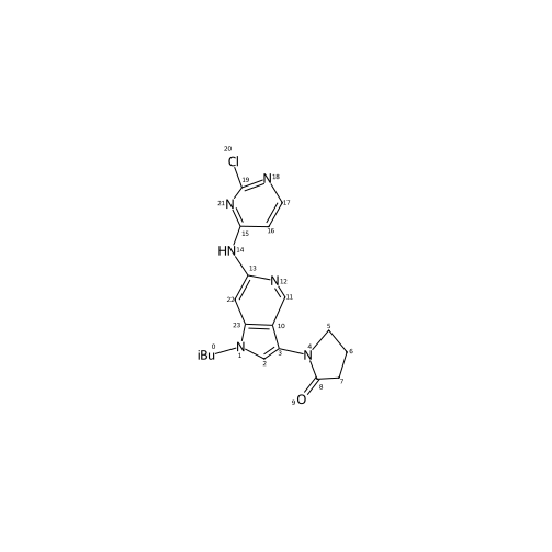 CCC(C)n1cc(N2CCCC2=O)c2cnc(Nc3ccnc(Cl)n3)cc21